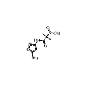 CC(C)(C)c1cc(NC(=O)C(C)(C)S(=O)O)no1